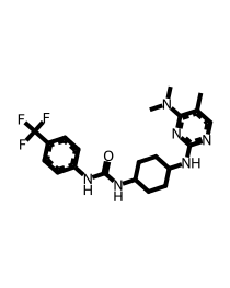 Cc1cnc(NC2CCC(NC(=O)Nc3ccc(C(F)(F)F)cc3)CC2)nc1N(C)C